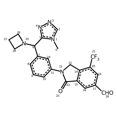 Cn1cnnc1C(c1cccc(N2Cc3c(cc(C=O)cc3C(F)(F)F)C2=O)c1)N1CCC1